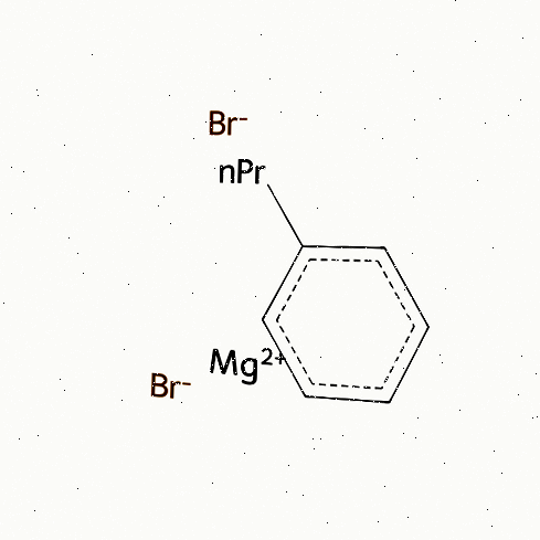 CCCc1ccccc1.[Br-].[Br-].[Mg+2]